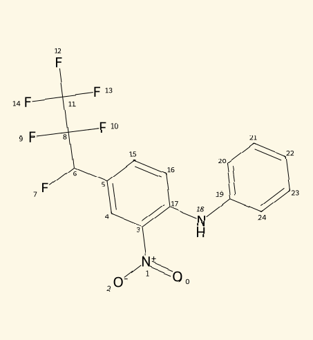 O=[N+]([O-])c1cc(C(F)C(F)(F)C(F)(F)F)ccc1Nc1ccccc1